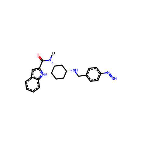 CCN(C(=O)c1cc2ccccc2[nH]1)[C@H]1CCC[C@@H](NCc2ccc(N=N)cc2)C1